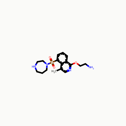 Cc1cnc(OCCN)c2cccc(S(=O)(=O)N3CCCNCC3)c12